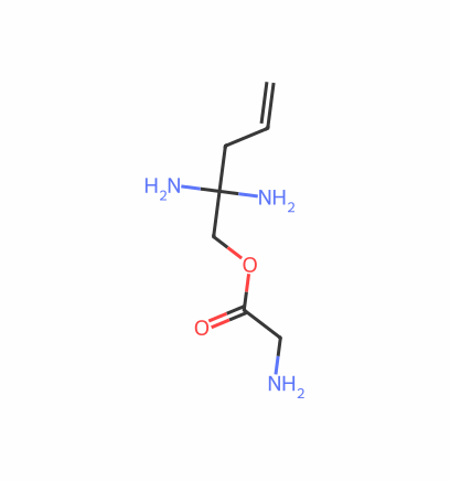 C=CCC(N)(N)COC(=O)CN